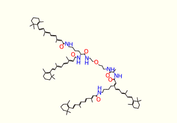 CC1=C(/C=C/C(C)=C/C=C/C(C)=C/C(=O)NCCCCC(/C=C/C=C(C)/C=C/C2=C(C)CCCC2(C)C)=C\C(=O)NC(C)C(=O)NCCCOCCNC(=O)C(CCCCNC(=O)/C=C(C)/C=C/C=C(C)/C=C/C2=C(C)CCCC2(C)C)NC(=O)/C=C(C)/C=C/C=C(C)/C=C/C2=C(C)CCCC2(C)C)C(C)(C)CCC1